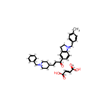 Cc1ccc(CN2CCc3cc(C(=O)CCC4CCN(Cc5ccccc5)CC4)ccc32)cc1.O=C(O)/C=C/C(=O)O